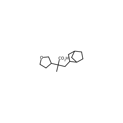 CC(CC1CC2CCC1C2)(C(=O)O)C1CCOC1